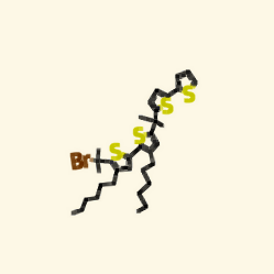 CCCCCCc1cc(C(C)(C)c2ccc(-c3cccs3)s2)sc1-c1cc(CCCCCC)c(C(C)(C)Br)s1